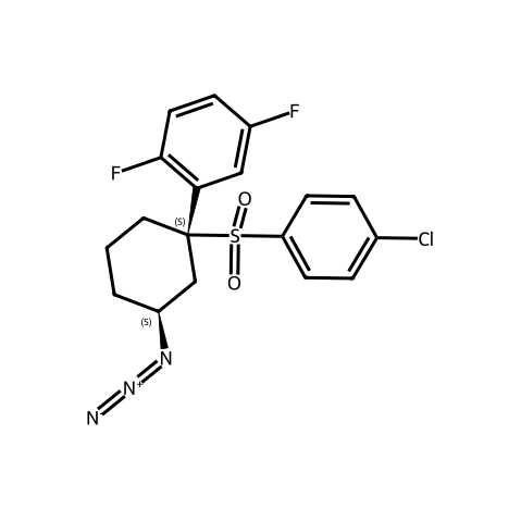 [N-]=[N+]=N[C@H]1CCC[C@](c2cc(F)ccc2F)(S(=O)(=O)c2ccc(Cl)cc2)C1